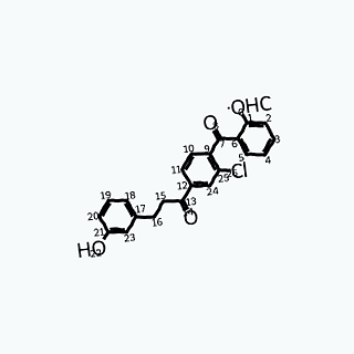 O=[C]c1ccccc1C(=O)c1ccc(C(=O)CCc2cccc(O)c2)cc1Cl